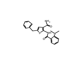 CN(C)c1ccccc1C(=O)Nc1sc(Cc2ccccc2)cc1C(N)=O